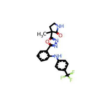 CC1(c2nnc(-c3ccccc3Nc3ccc(C(F)(F)F)cc3)o2)CCNC1=O